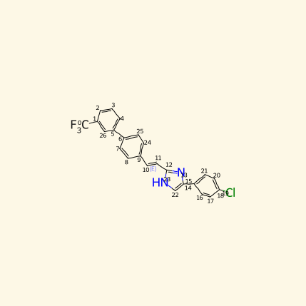 FC(F)(F)c1cccc(-c2ccc(/C=C/c3nc(-c4ccc(Cl)cc4)c[nH]3)cc2)c1